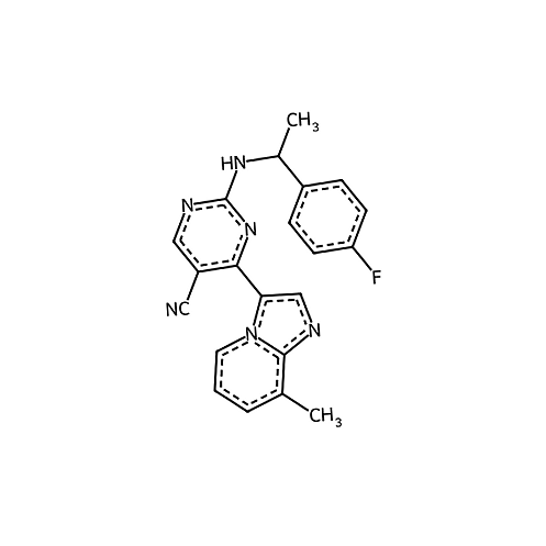 Cc1cccn2c(-c3nc(NC(C)c4ccc(F)cc4)ncc3C#N)cnc12